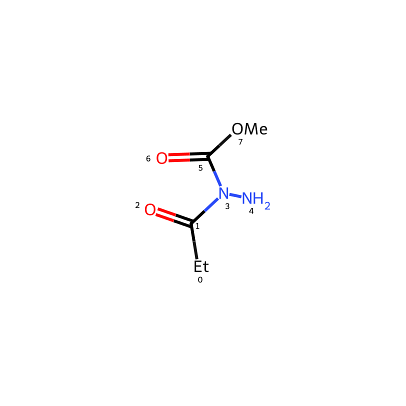 CCC(=O)N(N)C(=O)OC